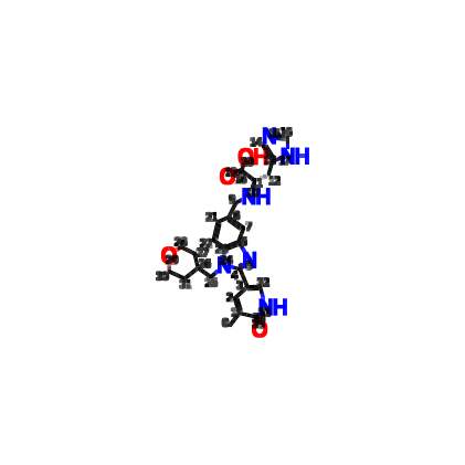 Cc1cc(-c2nc3cc(CN[C@@H](Cc4cnc[nH]4)C(=O)O)ccc3n2CC2CCOCC2)c[nH]c1=O